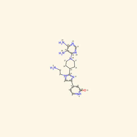 NCCn1cc(-c2cc[nH]c(=O)c2)nc1C1CCN(c2ncnc(N)c2N)CC1